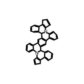 C1=CC2=C(C1)c1ccccc1C1c3cc4c(cc3-c3ccccc3N21)C1c2ccccc2C2=C(C=CC2)N1c1ccccc1-4